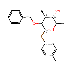 Cc1ccc(S[C@@H]2OC(C)[C@@H](O)[C@H](C)C2OCc2ccccc2)cc1